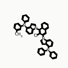 Cc1cccc(N(c2ccccc2)c2cccc3c2ccn3-c2c(Cl)c(-n3ccc4c(N(c5ccccc5)c5ccccc5)cccc43)cc3ccccc23)c1